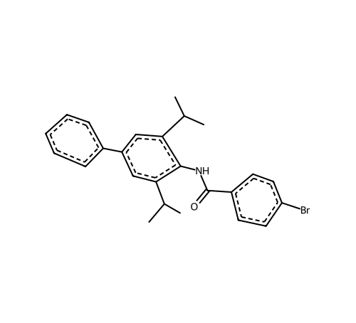 CC(C)c1cc(-c2ccccc2)cc(C(C)C)c1NC(=O)c1ccc(Br)cc1